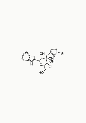 OC[C@H]1O[C@@H](c2cc3ccccc3[nH]2)[C@H](O)[C@](O)(Cc2ccc(Br)s2)[C@@]1(O)Cl